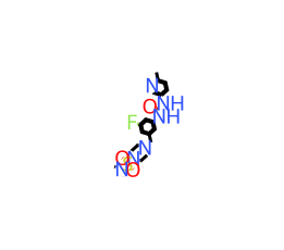 Cc1ccc(NC(=O)Nc2cc(F)cc(CN3CCN(S(=O)(=O)N(C)C)CC3)c2)cn1